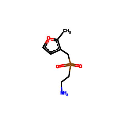 Cc1occc1CS(=O)(=O)CCN